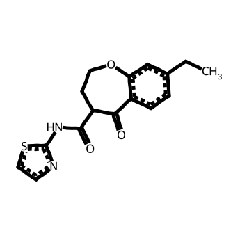 CCc1ccc2c(c1)OCCC(C(=O)Nc1nccs1)C2=O